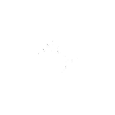 CC(C)(C)[Si](C)(C)Oc1ccc(-c2cccc(C3SC(N4CCOCC4)=NC3=O)n2)cc1C12CC3CC(CC(C3)C1)C2